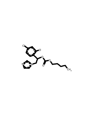 CCCCCOC(=O)OC(Cn1ccnc1)c1ccc(Cl)cc1Cl